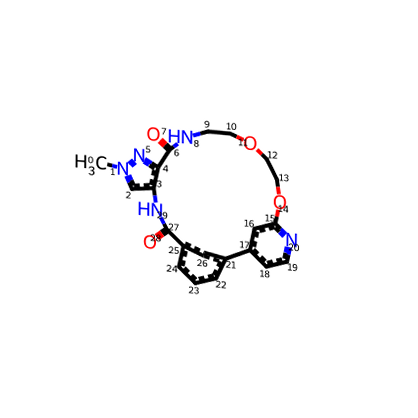 Cn1cc2c(n1)C(=O)NCCOCCOc1cc(ccn1)-c1cccc(c1)C(=O)N2